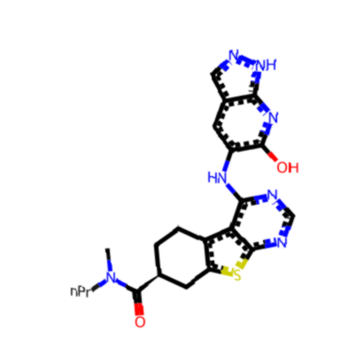 CCCN(C)C(=O)[C@H]1CCc2c(sc3ncnc(Nc4cc5cn[nH]c5nc4O)c23)C1